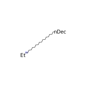 [CH2]C/C=C/CCCCCCCCCCCCCCCCCCCCCCCC[CH2]